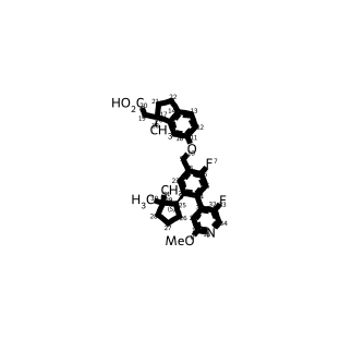 COc1cc(-c2cc(F)c(COc3ccc4c(c3)[C@@](C)(CC(=O)O)CC4)cc2[C@H]2CCCC2(C)C)c(F)cn1